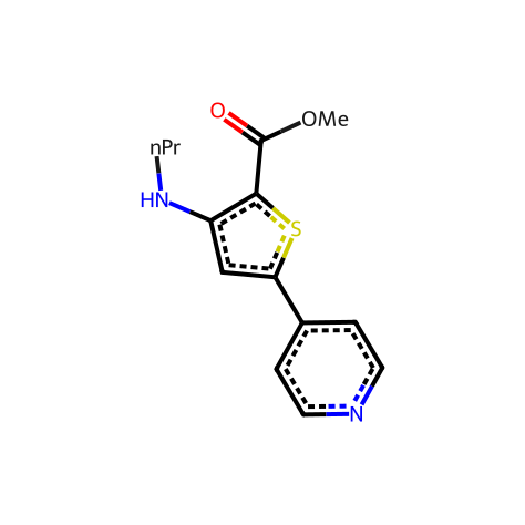 CCCNc1cc(-c2ccncc2)sc1C(=O)OC